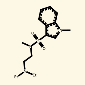 CCN(CC)CCN(C)S(=O)(=O)c1cn(C)c2ccccc12